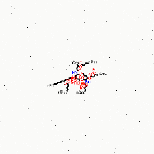 CCCC/C=C/CCCCCC(CC(=O)OC1C(NC(=O)CC(CCCCCCCCCCC)OC(=O)CCCCCCCCCCCCC)C(OCC2OC(OP(=O)(O)O)C(NC(=O)CC(O)CCCCCCCCCCC)C(OC(=O)CC(O)CCCCCCCCCCC)C2O)OC(CO)C1OP(=O)(O)O)OC(=O)CCCCCCCCCCCCC